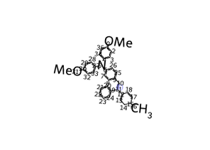 COc1ccc(N(c2ccc(/C=C(/C3=CCC(C)C=C3)c3ccccc3)cc2)c2ccc(OC)cc2)cc1